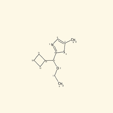 CCOC(c1ncc(C)s1)C1CCC1